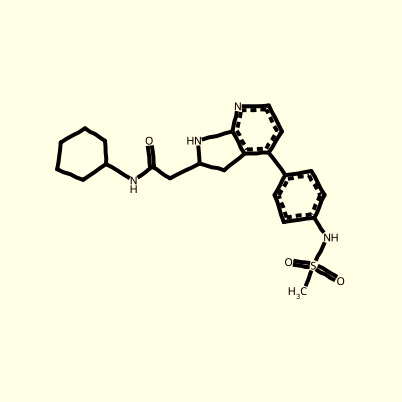 CS(=O)(=O)Nc1ccc(-c2ccnc3c2CC(CC(=O)NC2CCCCC2)N3)cc1